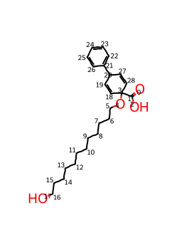 O=C(O)C1(OCCCCCCCCCCCCO)C=CC(c2ccccc2)C=C1